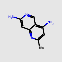 CC(C)(C)c1cc(N)c2cnc(N)cc2n1